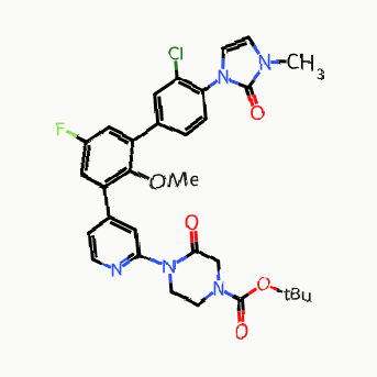 COc1c(-c2ccnc(N3CCN(C(=O)OC(C)(C)C)CC3=O)c2)cc(F)cc1-c1ccc(-n2ccn(C)c2=O)c(Cl)c1